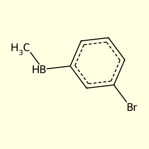 CBc1cccc(Br)c1